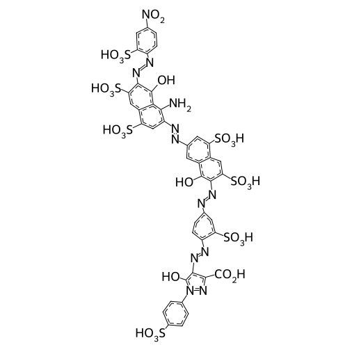 Nc1c(N=Nc2cc(S(=O)(=O)O)c3cc(S(=O)(=O)O)c(N=Nc4ccc(N=Nc5c(C(=O)O)nn(-c6ccc(S(=O)(=O)O)cc6)c5O)c(S(=O)(=O)O)c4)c(O)c3c2)cc(S(=O)(=O)O)c2cc(S(=O)(=O)O)c(N=Nc3ccc([N+](=O)[O-])cc3S(=O)(=O)O)c(O)c12